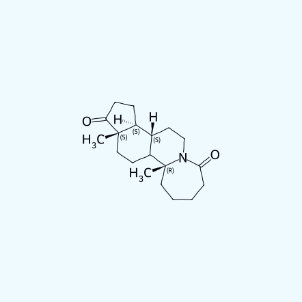 C[C@]12CCC3[C@@H](CCN4C(=O)CCCC[C@]34C)[C@@H]1CCC2=O